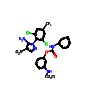 CCOC(=O)Nc1cccc(OC(=O)Nc2ccccc2)c1.Nc1c([N+](=O)[O-])cnn1-c1c(Cl)cc(C(F)(F)F)cc1Cl